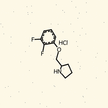 Cl.Fc1cccc(OCC2CCCN2)c1F